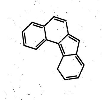 [C]1=c2ccc3ccccc3c2=C2CC=CC=C12